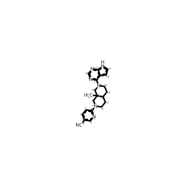 CC12CN(c3ccc(C#N)cn3)CCC1CCN(c1ncnc3[nH]ccc13)C2